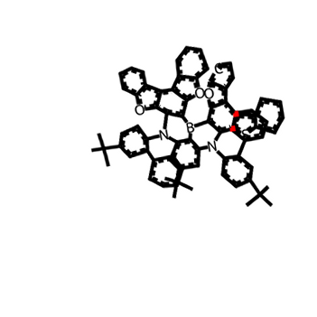 CC(C)(C)c1ccc(N2c3cc(C(C)(C)C)cc4c3B(c3c2c2oc5ccccc5c2c2c3oc3ccccc32)c2c(c3sc5ccccc5c3c3c2oc2ccccc23)N4c2ccc(C(C)(C)C)cc2-c2ccccc2)c(-c2ccccc2)c1